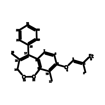 CC/C(C)=C/Oc1ccc2c(c1C)OOCC(C)=C2c1ccccc1